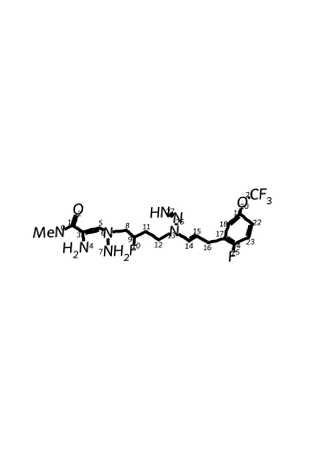 CNC(=O)/C(N)=C/N(N)CC(F)CCN(/C=C/Cc1cc(OC(F)(F)F)ccc1F)N=N